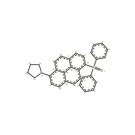 O=P(c1ccccc1)(c1ccccc1)c1ccc2ccc3c(N4CCCC4)ccc4ccc1c2c43